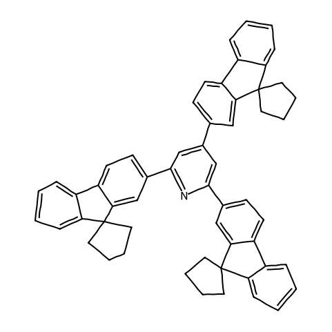 c1ccc2c(c1)-c1ccc(-c3cc(-c4ccc5c(c4)C4(CCCC4)c4ccccc4-5)nc(-c4ccc5c(c4)C4(CCCC4)c4ccccc4-5)c3)cc1C21CCCC1